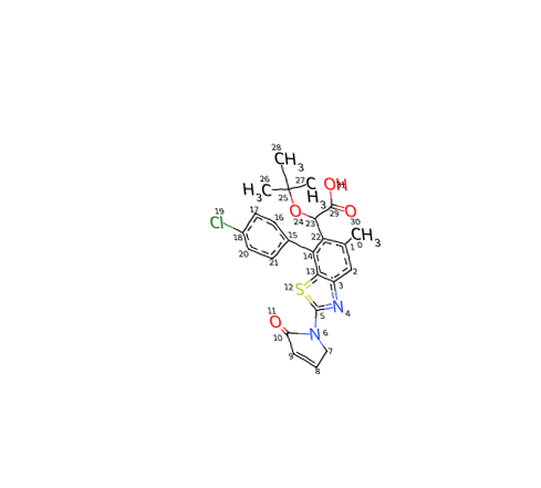 Cc1cc2nc(N3CC=CC3=O)sc2c(-c2ccc(Cl)cc2)c1C(OC(C)(C)C)C(=O)O